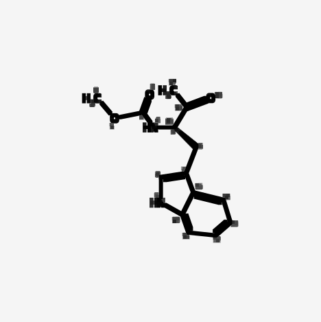 COC(=O)N[C@H](Cc1c[nH]c2ccccc12)C(C)=O